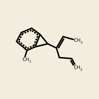 C=CCC(=CC)[C]1c2cccc(C)c21